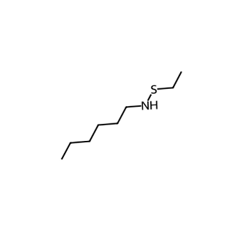 CCCCCCNSCC